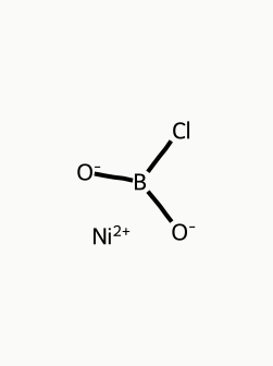 [Ni+2].[O-]B([O-])Cl